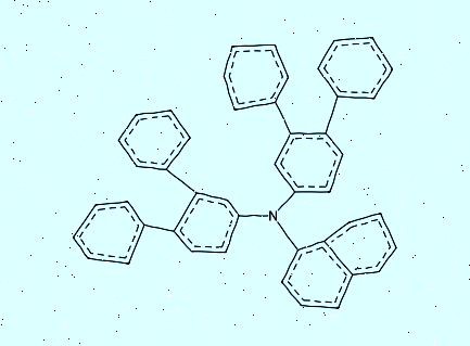 c1ccc(-c2ccc(N(c3ccc(-c4ccccc4)c(-c4ccccc4)c3)c3cccc4ccccc34)cc2-c2ccccc2)cc1